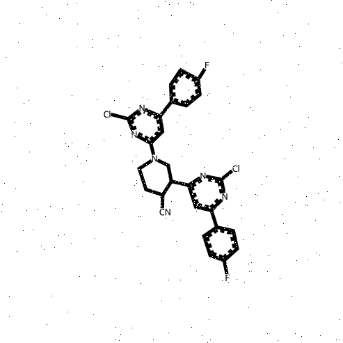 N#CC1CCN(c2cc(-c3ccc(F)cc3)nc(Cl)n2)CC1c1cc(-c2ccc(F)cc2)nc(Cl)n1